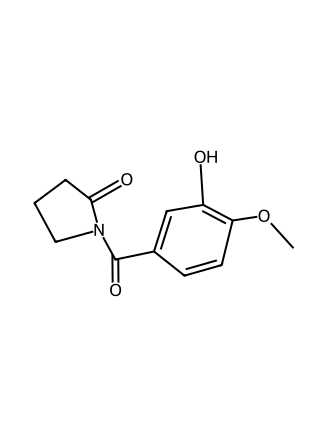 COc1ccc(C(=O)N2CCCC2=O)cc1O